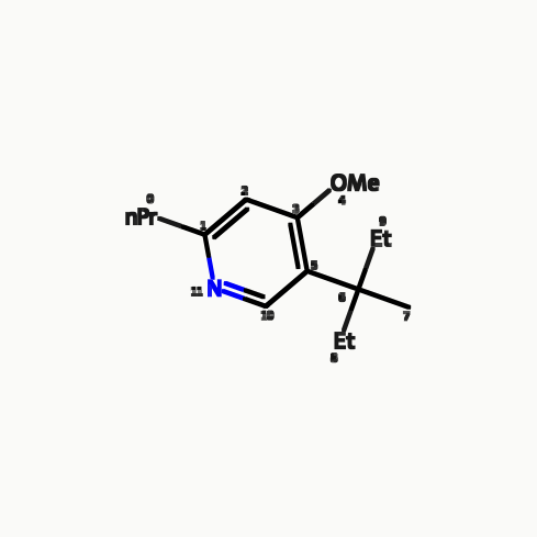 CCCc1cc(OC)c(C(C)(CC)CC)cn1